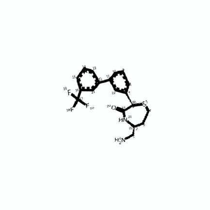 NC[C@@H]1CCS[C@H](c2cccc(-c3cccc(C(F)(F)F)c3)c2)C(=O)N1